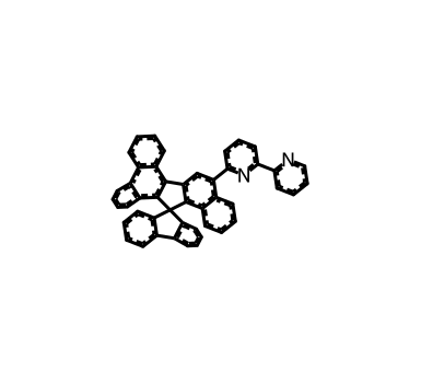 c1ccc(-c2cccc(-c3cc4c(c5ccccc35)C3(c5ccccc5-c5ccccc53)c3c-4c4ccccc4c4ccccc34)n2)nc1